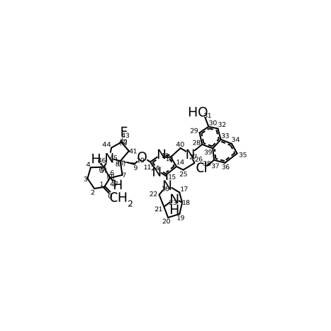 C=C1CCC[C@H]2[C@@H]1C[C@@]1(COc3nc4c(c(N5CC6CCC(C5)N6)n3)CCN(c3cc(O)cc5cccc(Cl)c35)C4)C[C@@H](F)CN21